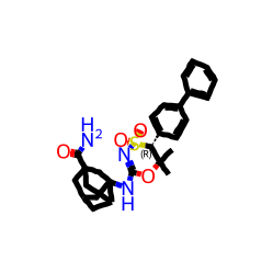 CC1(C)OC(NC23CC4CC2CC(C(N)=O)(C4)C3)=NS(=O)(=O)[C@@H]1c1ccc(-c2ccccc2)cc1